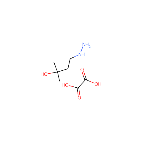 CC(C)(O)CCNN.O=C(O)C(=O)O